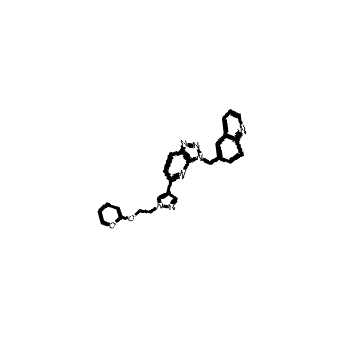 c1cnc2ccc(Cn3nnc4ccc(-c5cnn(CCOC6CCCCO6)c5)nc43)cc2c1